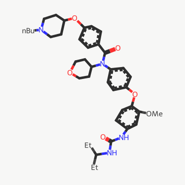 CCCCN1CCC(Oc2ccc(C(=O)N(c3ccc(Oc4ccc(NC(=O)NC(CC)CC)cc4OC)cc3)C3CCOCC3)cc2)CC1